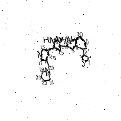 c1cc(-c2ccsc2)c2cc(-c3cc(-c4cncc(CN5CCCC5)c4)[nH]n3)[nH]c2c1